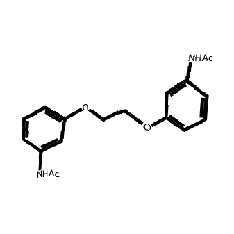 CC(=O)Nc1cccc(OCCOc2cccc(NC(C)=O)c2)c1